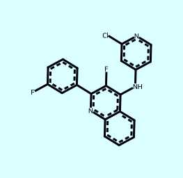 Fc1cccc(-c2nc3ccccc3c(Nc3ccnc(Cl)c3)c2F)c1